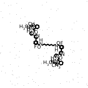 CN[C@@H](C)C(=O)N[C@H](C(=O)N1CCC[C@H]1c1cncc(-c2ccc(F)c(C(=O)NCCCCCCCCNC(=O)c3cc(-c4cncc([C@@H]5CCCN5C(=O)[C@@H](NC(=O)[C@H](C)NC)C5CCCCC5)c4)ccc3F)c2)c1)C1CCCCC1